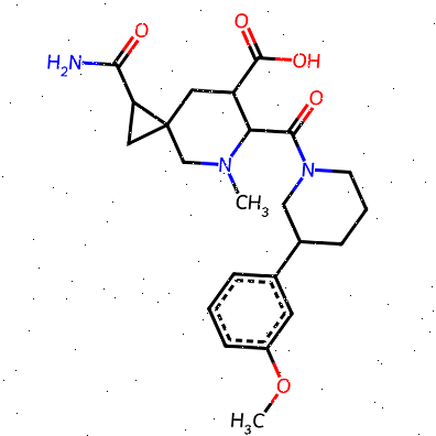 COc1cccc(C2CCCN(C(=O)C3C(C(=O)O)CC4(CC4C(N)=O)CN3C)C2)c1